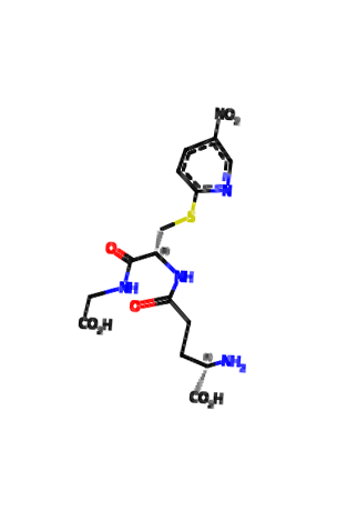 N[C@@H](CCC(=O)N[C@@H](CSc1ccc([N+](=O)[O-])cn1)C(=O)NCC(=O)O)C(=O)O